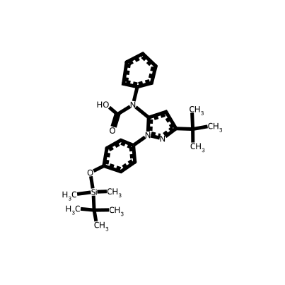 CC(C)(C)c1cc(N(C(=O)O)c2ccccc2)n(-c2ccc(O[Si](C)(C)C(C)(C)C)cc2)n1